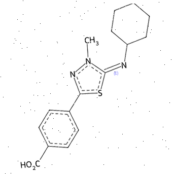 Cn1nc(-c2ccc(C(=O)O)cc2)s/c1=N/C1CCCCC1